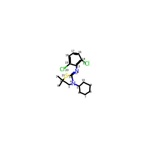 CC1(C)CN(C2CCCCC2)C(=Nc2c(Cl)cccc2Cl)S1